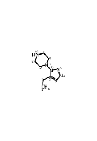 CCc1[c]nnn1N1CCNCC1